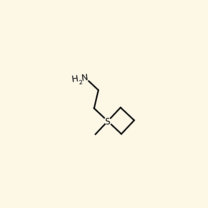 CS1(CCN)CCC1